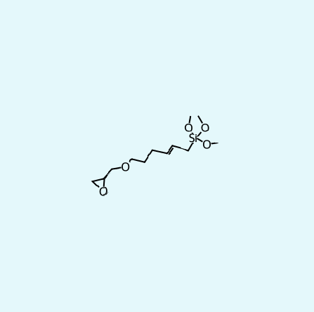 CO[Si](CC=CCCCOCC1CO1)(OC)OC